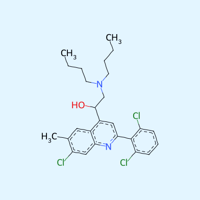 CCCCN(CCCC)CC(O)c1cc(-c2c(Cl)cccc2Cl)nc2cc(Cl)c(C)cc12